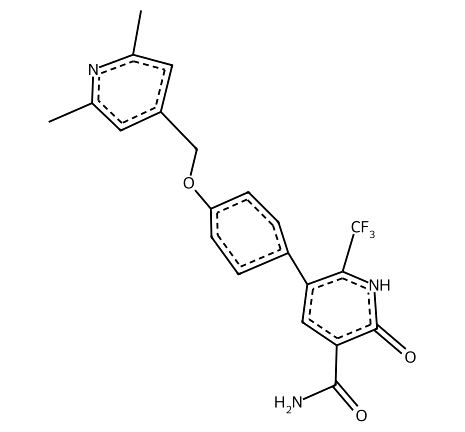 Cc1cc(COc2ccc(-c3cc(C(N)=O)c(=O)[nH]c3C(F)(F)F)cc2)cc(C)n1